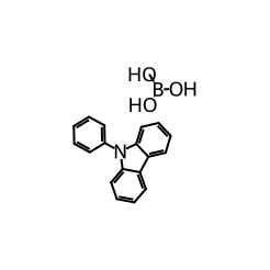 OB(O)O.c1ccc(-n2c3ccccc3c3ccccc32)cc1